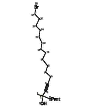 CCCCCC(C)(O)C#CCCCCCCCCCCCCBr